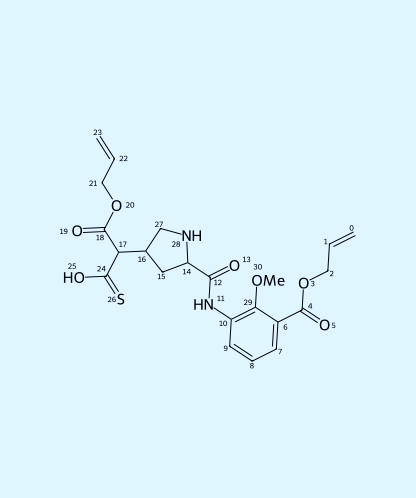 C=CCOC(=O)c1cccc(NC(=O)C2CC(C(C(=O)OCC=C)C(O)=S)CN2)c1OC